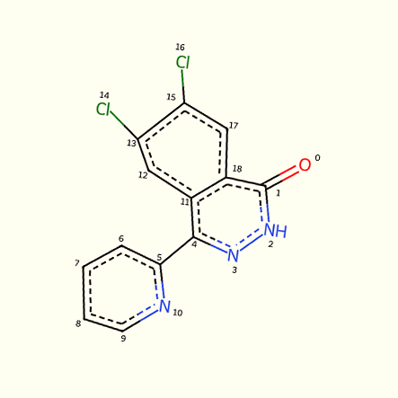 O=c1[nH]nc(-c2ccccn2)c2cc(Cl)c(Cl)cc12